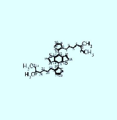 CCC(C)CCCCc1ccsc1-c1c2ccsc2c(-c2sccc2CCCCC(C)CC)c2ccsc12